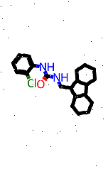 O=C(NCC1C2CCCCC2C2CCCCC21)Nc1ccccc1Cl